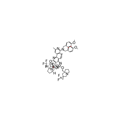 COc1ccc(CN(Cc2ccc(OC)cc2)c2nc(C)cc(-c3nc4c5c(nc(OC[C@@]67CCCN6CC6(CC6(F)F)C7)nc5c3F)N3C[C@H]5CC[C@@H]([C@H]3[C@H](C(F)(F)F)O4)N5C(=O)OC(C)(C)C)c2F)cc1